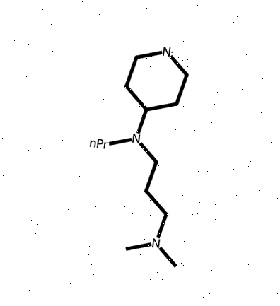 CCCN(CCCN(C)C)C1CC[N]CC1